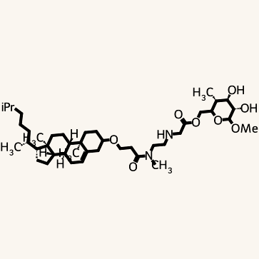 COC1OC(COC(=O)CNCCN(C)C(=O)CCOC2CC[C@@]3(C)C(=CC[C@H]4[C@@H]5CC[C@H]([C@H](C)CCCC(C)C)[C@@]5(C)CC[C@@H]43)C2)[C@H](C)[C@@H](O)[C@@H]1O